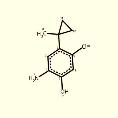 CC1(c2cc(N)c(O)cc2Cl)CC1